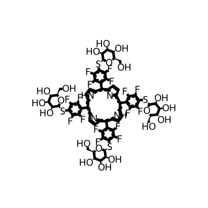 OC[C@H]1O[C@H](Sc2c(F)c(F)c(-c3c4nc(c(-c5c(F)c(F)c(S[C@H]6O[C@H](CO)[C@@H](O)[C@H](O)[C@@H]6O)c(F)c5F)c5ccc([nH]5)c(-c5c(F)c(F)c(S[C@@H]6O[C@H](CO)[C@@H](O)[C@H](O)[C@@H]6O)c(F)c5F)c5nc(c(-c6c(F)c(F)c(S[C@H]7O[C@H](CO)[C@@H](O)[C@H](O)[C@@H]7O)c(F)c6F)c6ccc3[nH]6)C=C5)C=C4)c(F)c2F)[C@@H](O)[C@@H](O)[C@@H]1O